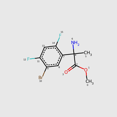 COC(=O)C(C)(N)c1cc(Br)c(F)cc1F